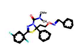 CON(C)C(=O)N1N=C(c2cc(F)ccc2F)SC1(CCON=Cc1ccccc1)c1ccccc1